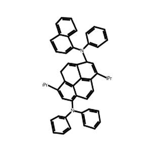 CC(C)C1=CC(N(c2ccccc2)c2cccc3ccccc23)C2=CCc3c(C(C)C)cc(N(c4ccccc4)c4ccccc4)c4ccc1c2c34